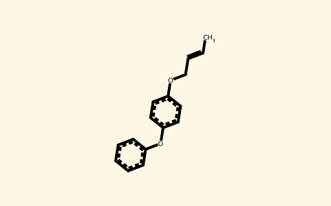 CC=CCOc1ccc(Oc2ccccc2)cc1